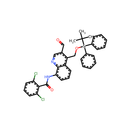 CC(C)(C)[Si](OCc1c(C=O)cnc2c(NC(=O)c3c(Cl)cccc3Cl)cccc12)(c1ccccc1)c1ccccc1